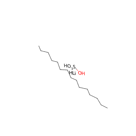 CCCCCCCCCCCCCCC.O=S(=O)(O)O.[LiH]